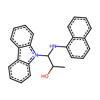 CC(O)C(Nc1cccc2ccccc12)n1c2ccccc2c2ccccc21